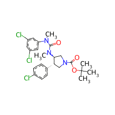 CN(C(=O)N(C)[C@H]1CN(C(=O)OC(C)(C)C)C[C@@H]1c1ccc(Cl)cc1)c1cc(Cl)cc(Cl)c1